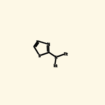 CCN(CC)c1n[c]cs1